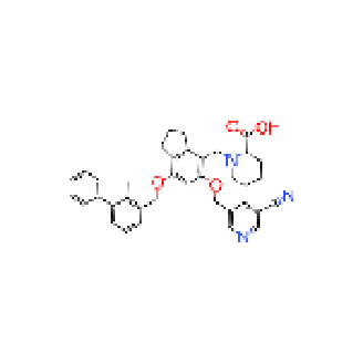 Cc1c(COc2cc(OCc3cncc(C#N)c3)c(CN3CCCCC3C(=O)O)c3c2CCC3)cccc1-c1ccccc1